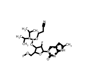 Cc1cc2cn(C3OC(COF)C(OP(OCCC#N)N(C(C)C)C(C)C)C3F)c(=O)nc2[nH]1